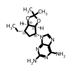 CC[C@H]1C[C@@H](n2cnc3c(N)nc(N)nc32)[C@@H]2OC(C)(C)O[C@H]12